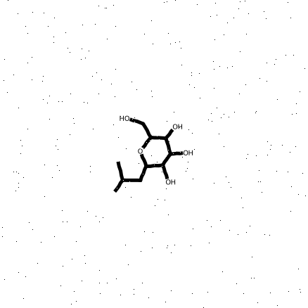 CC(C)CC1OC(CO)C(O)C(O)C1O